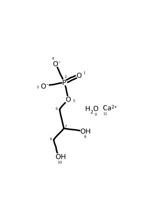 O.O=P([O-])([O-])OCC(O)CO.[Ca+2]